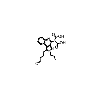 CCCn1nc2c(N(C(=O)O)C(=O)O)nc3ccccc3c2c1CCCC=O